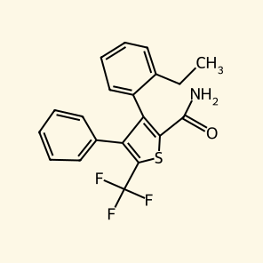 CCc1ccccc1-c1c(C(N)=O)sc(C(F)(F)F)c1-c1ccccc1